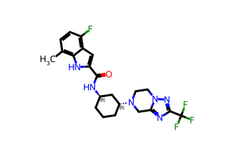 Cc1ccc(F)c2cc(C(=O)N[C@@H]3CCC[C@@H](N4CCn5nc(C(F)(F)F)nc5C4)C3)[nH]c12